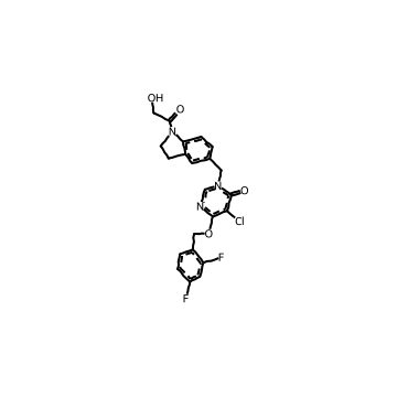 O=C(CO)N1CCc2cc(Cn3cnc(OCc4ccc(F)cc4F)c(Cl)c3=O)ccc21